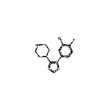 Fc1ccc(-n2ncnc2C2CCNCC2)cc1Cl